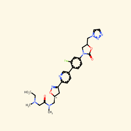 CN(CC(=O)O)CC(=O)N(C)C[C@@H]1CC(c2ccc(-c3ccc(N4CC(Cn5ccnn5)OC4=O)cc3F)cn2)=NO1